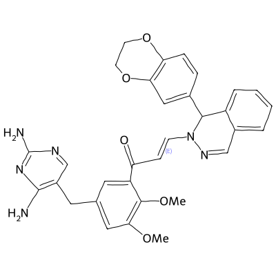 COc1cc(Cc2cnc(N)nc2N)cc(C(=O)/C=C/N2N=Cc3ccccc3C2c2ccc3c(c2)OCCO3)c1OC